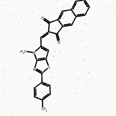 Cn1c(C=C2C(=O)c3cc4ccccc4cc3C2=O)cc2sc(-c3ccc(C(F)(F)F)cc3)nc21